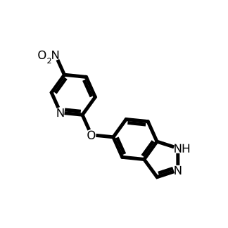 O=[N+]([O-])c1ccc(Oc2ccc3[nH]ncc3c2)nc1